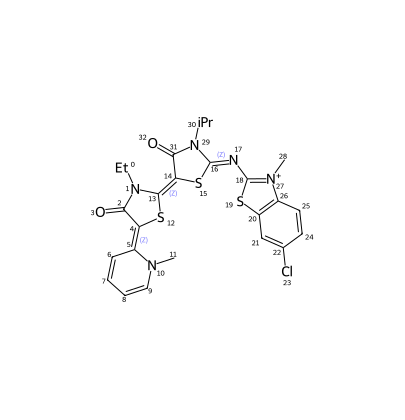 CCn1c(=O)/c(=C2\C=CC=CN2C)s/c1=C1\S/C(=N\c2sc3cc(Cl)ccc3[n+]2C)N(C(C)C)C1=O